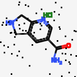 Cl.NC(=O)c1cnc2c(c1)CNC2